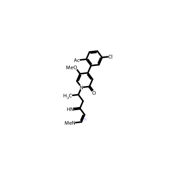 CN/C=C\C(=N)CC(C)n1cc(OC)c(-c2cc(Cl)ccc2C(C)=O)cc1=O